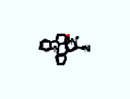 CC1C=C(C2=C(N3c4ccccc4C4C=CC=CC43)C=CCC2)C=C(C#N)N1C